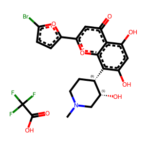 CN1CC[C@H](c2c(O)cc(O)c3c(=O)cc(-c4ccc(Br)o4)oc23)[C@H](O)C1.O=C(O)C(F)(F)F